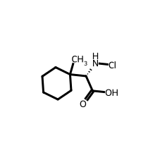 CC1([C@H](NCl)C(=O)O)CCCCC1